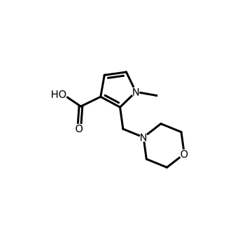 Cn1ccc(C(=O)O)c1CN1CCOCC1